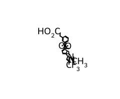 Cn1nc(-c2ccc(S(=O)(=O)c3cccc(CCC(=O)O)c3)s2)cc1C(F)(F)F